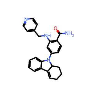 NC(=O)c1ccc(N2c3ccccc3C3=CCCCC32)cc1NCc1ccncc1